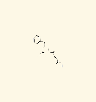 COC(=O)/C=C/C(=O)OC[C@@H](Cc1ccccc1)NC(N)=O